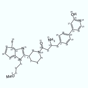 COCCCn1c(C2CCCN(C(=O)CC(N)Cc3ccc(-c4ccnc(O)c4)cc3)C2)nc2c(F)cccc21